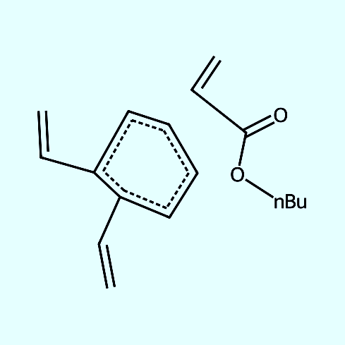 C=CC(=O)OCCCC.C=Cc1ccccc1C=C